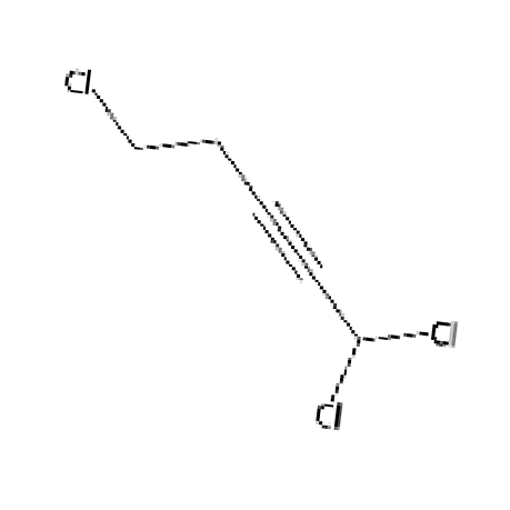 ClCCC#CC(Cl)Cl